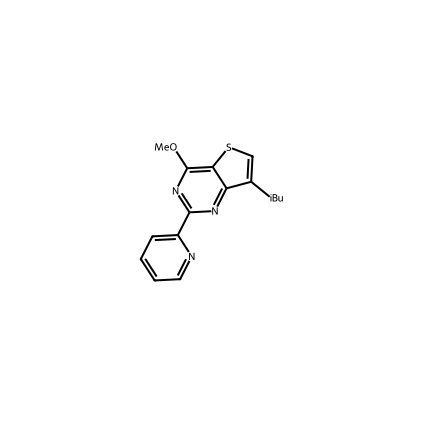 CCC(C)c1csc2c(OC)nc(-c3ccccn3)nc12